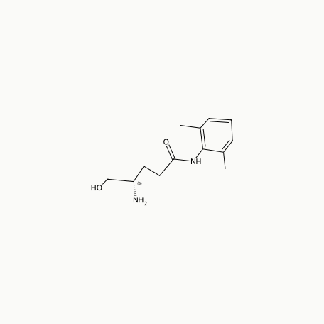 Cc1cccc(C)c1NC(=O)CC[C@H](N)CO